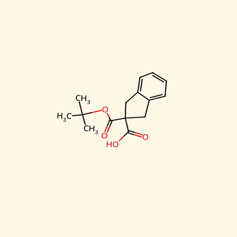 CC(C)(C)OC(=O)C1(C(=O)O)Cc2ccccc2C1